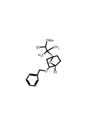 CCC(OC)C(C)(C)[C@@]12CC[C@@](CC)(O1)[C@@H](OCc1ccccc1)C2